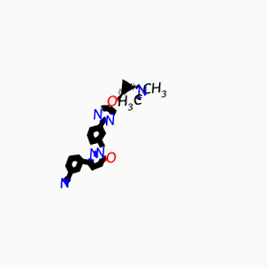 CN(C)C[C@H]1C[C@@H]1COc1cnc(-c2cccc(Cn3nc(-c4cccc(C#N)c4)ccc3=O)c2)nc1